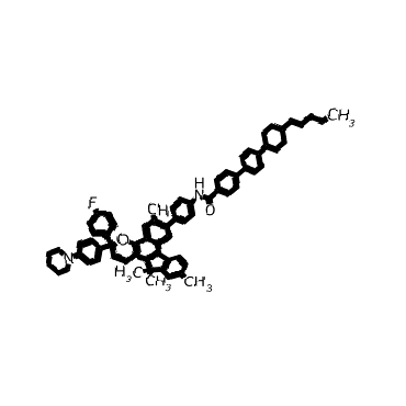 CCCCCC1CCC(c2ccc(-c3ccc(C(=O)Nc4ccc(-c5cc6c7c(c8c(c6cc5C)OC(c5ccc(F)cc5)(c5ccc(N6CCCCC6)cc5)C=C8)C(C)(C)c5cc(C)ccc5-7)cc4)cc3)cc2)CC1